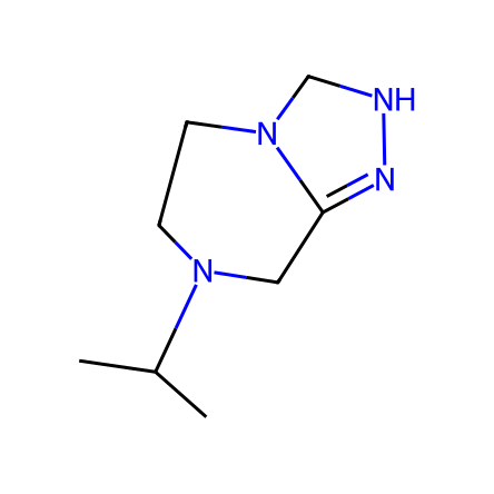 CC(C)N1CCN2CNN=C2C1